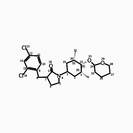 C[C@@H]1CC(N2CCC(Cc3ccc(Cl)cc3Cl)C2=O)C[C@H](C)[C@@H]1OC1CCCCO1